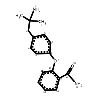 CC(C)(N)Cc1ccc(Oc2ccccc2C(N)=O)cc1